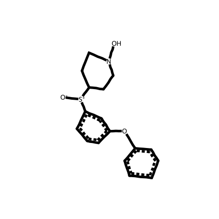 [O-][S+](c1cccc(Oc2ccccc2)c1)C1CCN(O)CC1